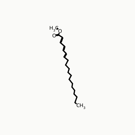 CCCCCCCCCCCCCC=CC=CC=CC(=O)OC